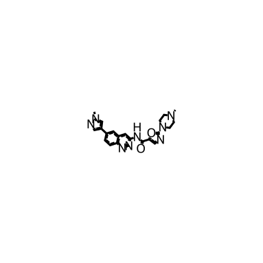 CN1CCN(c2ncc(C(=O)Nc3cc4cc(-c5cnn(C)c5)ccc4nn3)o2)CC1